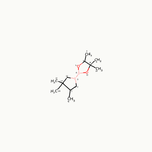 CC1CB(B2OC(C)C(C)(C)O2)CC1(C)C